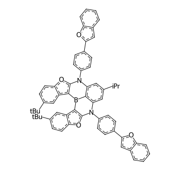 CC(C)c1cc2c3c(c1)N(c1ccc(-c4cc5ccccc5o4)cc1)c1oc4ccc(C(C)(C)C)cc4c1B3c1c(oc3ccc(C(C)(C)C)cc13)N2c1ccc(-c2cc3ccccc3o2)cc1